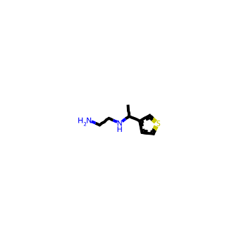 CC(NCCN)c1ccsc1